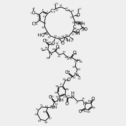 COC1=C(Cl)C2CC(=C1)CC(C)CCC[C@@H](OC)[C@@]1(O)C[C@H](OC(=O)N1)[C@@H](C)[C@@H]1O[C@@]1(C)[C@@H](OC(=O)[C@H](C)N(C)C(=O)CCSC(=O)N(C)CCN(C)C(=O)OCc1ccc(NC(=O)NC3/C=C/CCCCC3)c(C(=O)NCCN3C(=O)C=CC3=O)c1)CC(O)C2